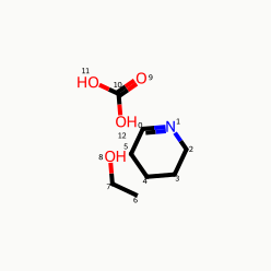 C1=NCCCC1.CCO.O=C(O)O